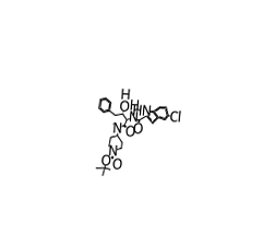 CN(C(=O)[C@H](NC(=O)c1cc2cc(Cl)ccc2[nH]1)[C@@H](O)Cc1ccccc1)C1CCN(C(=O)OC(C)(C)C)CC1